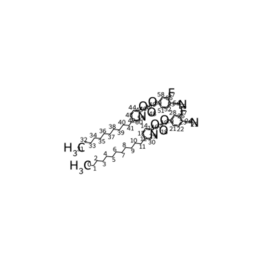 CCCCCCCCCCCCc1ccc(OC(=O)Oc2ccc(C#N)c(F)c2)nc1.CCCCCCCCCCCc1ccc(OC(=O)Oc2ccc(C#N)c(F)c2)nc1